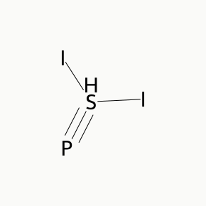 P#[SH](I)I